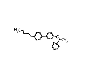 CCCCCc1ccc(-c2ccc(OC(C)c3ccccc3)cc2)cc1